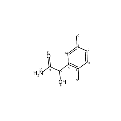 Cc1ccc(C)c(C(O)C(N)=O)c1